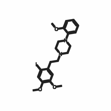 COc1cc(I)c(CCN2CCN(c3ccccc3OC)CC2)cc1OC